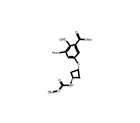 COC(=O)c1cc(O[C@H]2C[C@H](NC(=O)OC(C)(C)C)C2)cc(OC)c1C=O